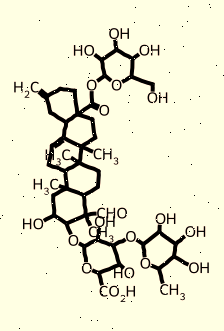 C=C1CCC2(C(=O)OC3OC(CO)C(O)C(O)C3O)CCC3(C)C(=CCC4C5(C)CC(O)C(OC6OC(C(=O)O)C(O)C(OC7OC(C)C(O)C(O)C7O)C6O)C(C)(C=O)C5CCC43C)C2C1